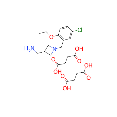 CCOc1ccc(Cl)cc1CN1CC(CN)C1.O=C(O)CCC(=O)O.O=C(O)CCC(=O)O